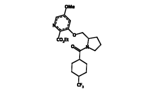 CCOC(=O)c1ncc(OC)cc1OCC1CCCN1C(=O)C1CCC(C(F)(F)F)CC1